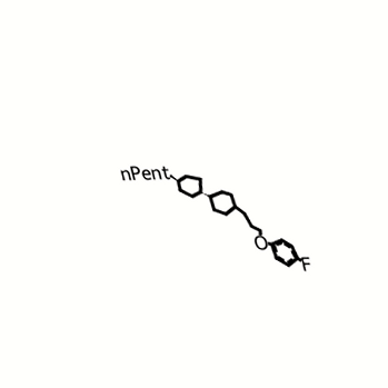 CCCCC[C@H]1CC[C@H](C2CCC(CCCOc3ccc(F)cc3)CC2)CC1